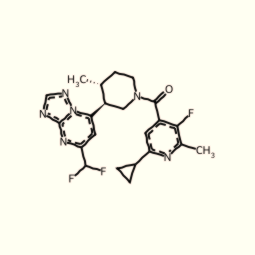 Cc1nc(C2CC2)cc(C(=O)N2CC[C@@H](C)[C@H](c3cc(C(F)F)nc4ncnn34)C2)c1F